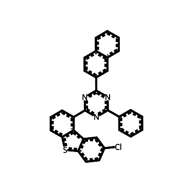 Clc1ccc2sc3cccc(-c4nc(-c5ccccc5)nc(-c5ccc6ccccc6c5)n4)c3c2c1